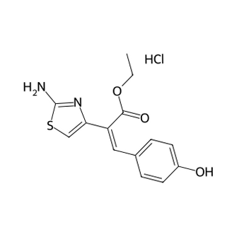 CCOC(=O)C(=Cc1ccc(O)cc1)c1csc(N)n1.Cl